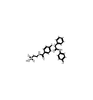 O=C(NCCS(=O)(=O)O)c1ccc(C[C@@H](C(=O)Nc2ccc(I)cc2)c2ccccc2)cc1